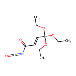 CCO[Si](C=CC(=O)N=C=O)(OCC)OCC